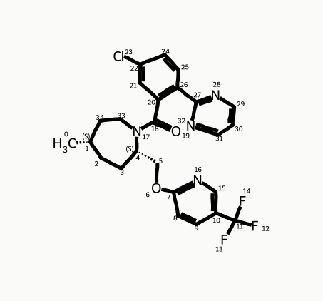 C[C@H]1CC[C@@H](COc2ccc(C(F)(F)F)cn2)N(C(=O)c2cc(Cl)ccc2-c2ncccn2)CC1